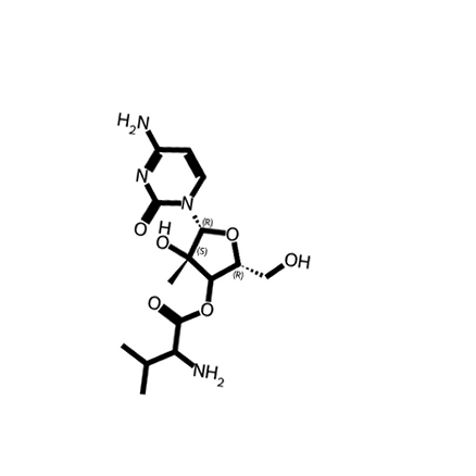 CC(C)C(N)C(=O)OC1[C@@H](CO)O[C@@H](n2ccc(N)nc2=O)[C@@]1(C)O